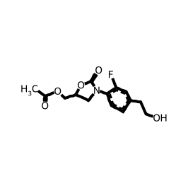 CC(=O)OCC1CN(c2ccc(CCO)cc2F)C(=O)O1